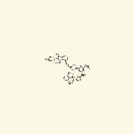 Cc1nc(Nc2ncc(C(=O)Nc3c(C)cccc3Cl)s2)cc(N2CCN(CCSc3cccc4c3C(=O)N(C3CCC(=O)NC3=O)C4=O)CC2)n1